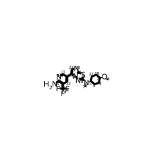 CO[C@H]1CC[C@H](N(C)c2nn3c(-c4cnc(N)c(C(F)(F)F)c4)cnc3s2)CC1